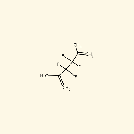 C=C(C)C(F)(F)C(F)(F)C(=C)C